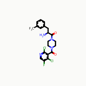 NC(Cc1cccc(C(F)(F)F)c1)C(=O)N1CCN(C(=O)c2c(Cl)ncc(F)c2Cl)CC1